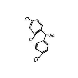 CC(=O)C(c1ccc(Cl)cc1)c1ccc(Cl)cc1Cl